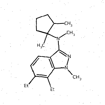 CCc1ccc2c(N(C)C3(C)CCCC3C)nn(C)c2c1CC